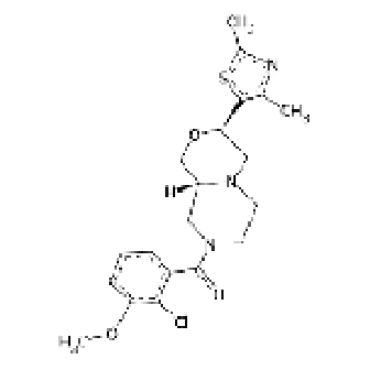 COc1cccc(C(=O)N2CCN3C[C@H](c4sc(C)nc4C)OC[C@H]3C2)c1Cl